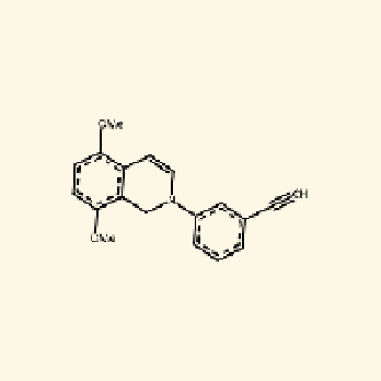 C#Cc1cccc(N2C=Cc3c(OC)ccc(OC)c3C2)c1